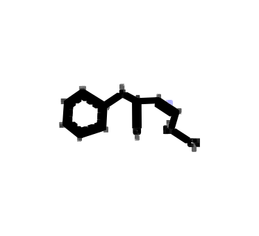 N#C[Se]/C=C\C(=O)Sc1ccccc1